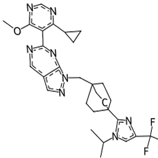 COc1ncnc(C2CC2)c1-c1ncc2cnn(CC34CCC(c5nc(C(F)(F)F)cn5C(C)C)(CC3)CC4)c2n1